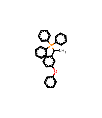 CC(c1cccc(Oc2ccccc2)c1)[PH](c1ccccc1)(c1ccccc1)c1ccccc1